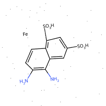 Nc1ccc2c(S(=O)(=O)O)cc(S(=O)(=O)O)cc2c1N.[Fe]